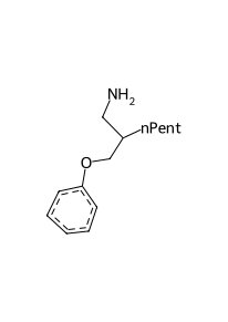 CCCCCC(CN)COc1ccccc1